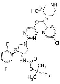 CC(C)(C)OC(=O)N[C@H]1CN(c2ncc(OC(c3ncc(Cl)cn3)[C@H]3CCNC[C@@H]3O)cn2)C[C@@H]1c1cc(F)ccc1F